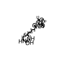 COC(=O)C(NC(=O)CCCCC1CNC(O)NCCS1)OC(C)=O